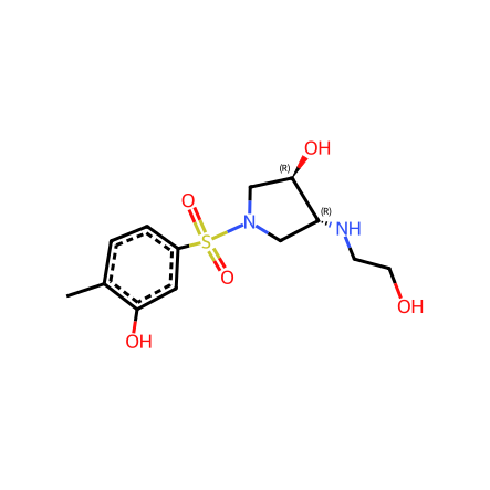 Cc1ccc(S(=O)(=O)N2C[C@@H](O)[C@H](NCCO)C2)cc1O